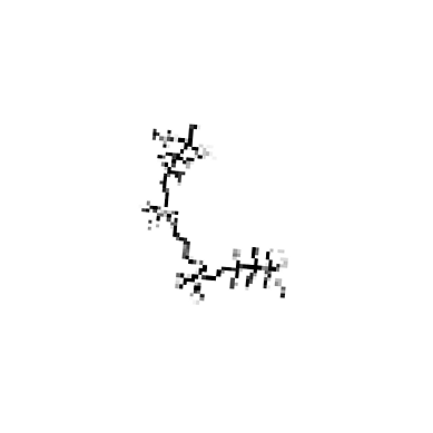 O=S(=O)(CCC(F)(F)C(F)(F)C(F)(C(F)(F)F)C(F)(F)F)OCCCOS(=O)(=O)CCC(F)(F)C(F)(F)C(F)(C(F)(F)F)C(F)(F)F